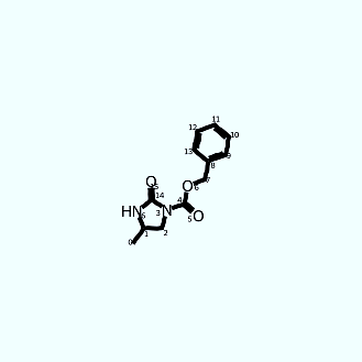 CC1CN(C(=O)OCc2ccccc2)C(=O)N1